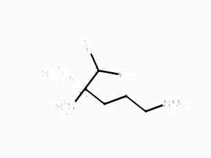 CNCCC[C@](N)(C(=O)O)C(F)F